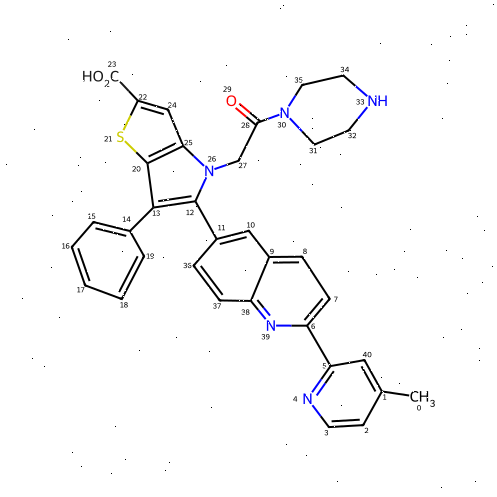 Cc1ccnc(-c2ccc3cc(-c4c(-c5ccccc5)c5sc(C(=O)O)cc5n4CC(=O)N4CCNCC4)ccc3n2)c1